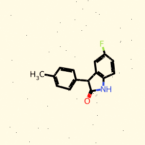 Cc1ccc(C2C(=O)Nc3ccc(F)cc32)cc1